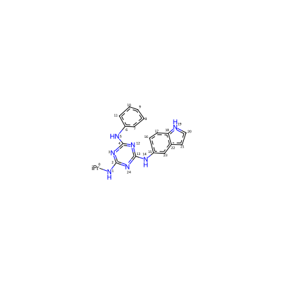 CC(C)Nc1nc(Nc2ccccc2)nc(Nc2ccc3[nH]ccc3c2)n1